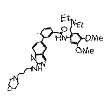 CCN(CC)Cc1cc(OC)c(OC)cc1NC(=O)c1ccc(C)c(-c2ccc3nc(NCCCN4CCOCC4)ncc3c2)c1